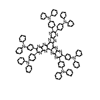 c1ccc(N(c2ccccc2)c2ccc(-c3nc4nc5c6nc7nc(-c8ccc(N(c9ccccc9)c9ccccc9)cc8)c(-c8ccc(N(c9ccccc9)c9ccccc9)cc8)nc7nc6c6nc7nc(-c8ccc(N(c9ccccc9)c9ccccc9)cc8)c(-c8ccc(N(c9ccccc9)c9ccccc9)cc8)nc7nc6c5nc4nc3-c3ccc(N(c4ccccc4)c4ccccc4)cc3)cc2)cc1